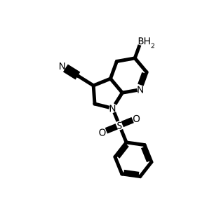 BC1C=NC2C(C1)C(C#N)CN2S(=O)(=O)c1ccccc1